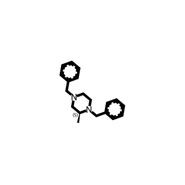 C[C@H]1CN(Cc2ccccc2)CCN1Cc1ccccc1